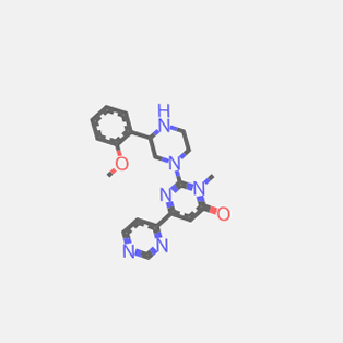 COc1ccccc1C1CN(c2nc(-c3ccncn3)cc(=O)n2C)CCN1